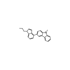 CCCC1C=Cc2c(-c3ccc4c(c3)c3ccccc3n4C)cccc21